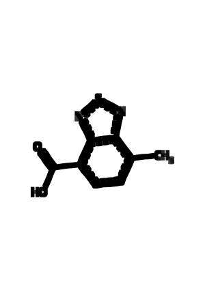 Cc1ccc(C(=O)O)c2nsnc12